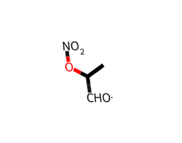 CC([C]=O)O[N+](=O)[O-]